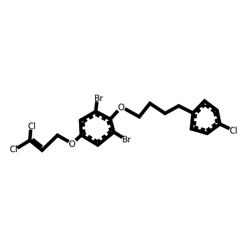 ClC(Cl)=CCOc1cc(Br)c(OCCCCc2ccc(Cl)cc2)c(Br)c1